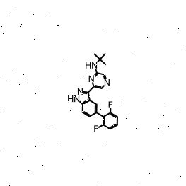 CC(C)(C)Nc1cncc(-c2n[nH]c3ccc(-c4c(F)cccc4F)cc23)n1